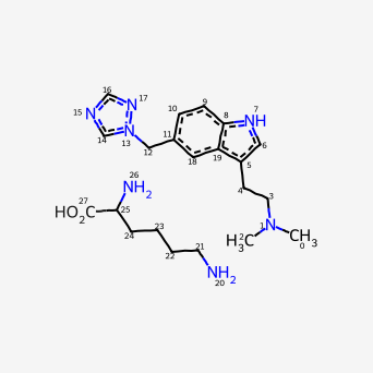 CN(C)CCc1c[nH]c2ccc(Cn3cncn3)cc12.NCCCCC(N)C(=O)O